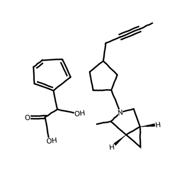 CC#CCC1CCC(N2C[C@@H]3C[C@@H]3C2C)C1.O=C(O)C(O)c1ccccc1